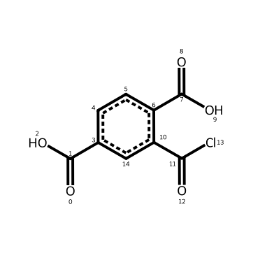 O=C(O)c1ccc(C(=O)O)c(C(=O)Cl)c1